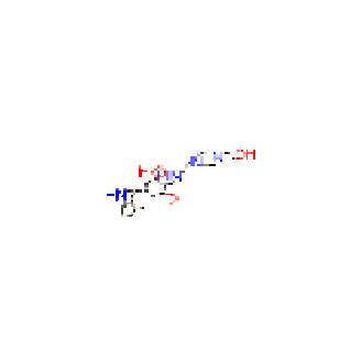 Cc1cccc2[nH]cc(C3CC(=O)/C(=C/NCCN4CCN(CCO)CC4)C(O)C3)c12